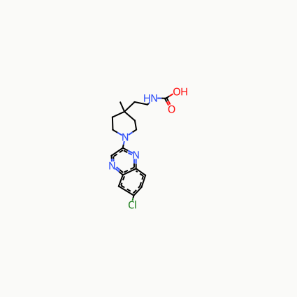 CC1(CCNC(=O)O)CCN(c2cnc3cc(Cl)ccc3n2)CC1